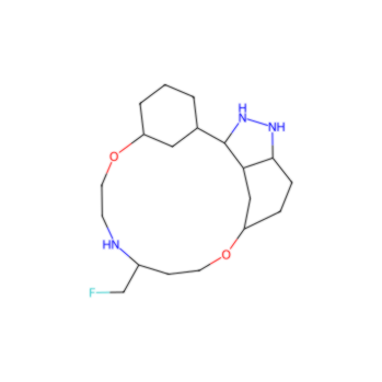 FCC1CCOC2CCC3NNC(C4CCCC(C4)OCCN1)C3C2